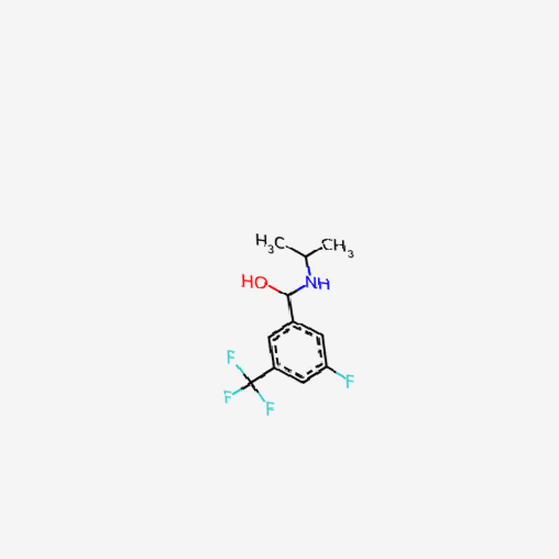 CC(C)NC(O)c1cc(F)cc(C(F)(F)F)c1